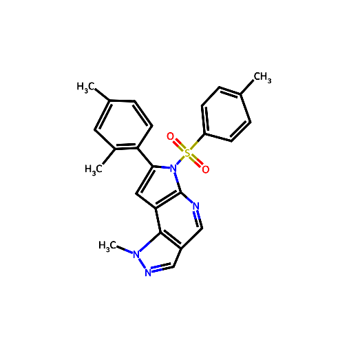 Cc1ccc(S(=O)(=O)n2c(-c3ccc(C)cc3C)cc3c4c(cnc32)cnn4C)cc1